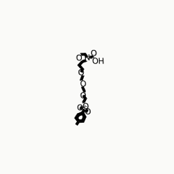 Cc1ccc(S(=O)(=O)OCCOCCOCCOCCC2CN(C(=O)O)CCO2)cc1